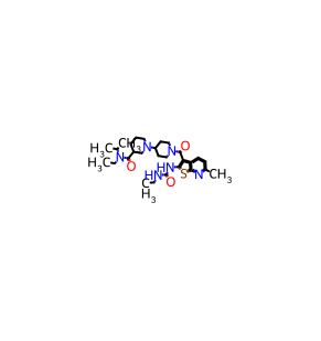 CCNC(=O)Nc1sc2nc(C)ccc2c1C(=O)N1CCC(N2CCCC(C(=O)N(CC)C(C)C)C2)CC1